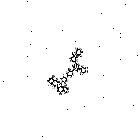 C1=C(c2ccc(-n3c4cc5ccccc5cc4c4ccc5ccccc5c43)cc2)CCC(c2nc(-c3ccccc3)nc(-c3ccc4oc5ccccc5c4c3)n2)=C1